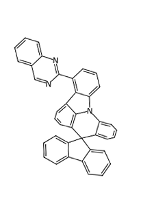 c1ccc2c(c1)-c1ccccc1C21c2ccccc2-n2c3cccc(-c4ncc5ccccc5n4)c3c3cccc1c32